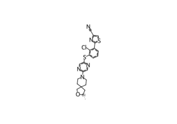 C[C@H]1CC2(CCN(c3cnc(Sc4cccc(-c5nc(C#N)cs5)c4Cl)cn3)CC2)CO1